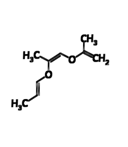 C=C(C)OC=C(C)OC=CC